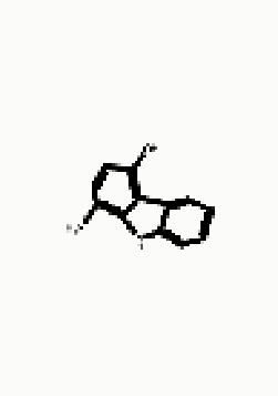 Nc1ccc(O)c2c1[nH]c1ccccc12